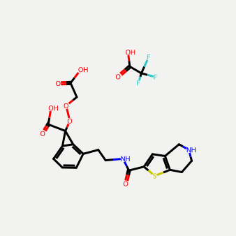 O=C(O)C(F)(F)F.O=C(O)COOC1(C(=O)O)c2cccc(CCNC(=O)c3cc4c(s3)CCNC4)c21